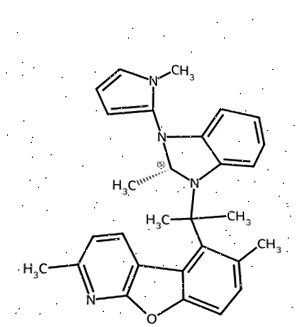 Cc1ccc2c(n1)oc1ccc(C)c(C(C)(C)N3c4ccccc4N(c4cccn4C)[C@H]3C)c12